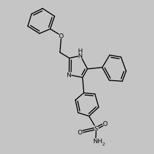 NS(=O)(=O)c1ccc(-c2nc(COc3ccccc3)[nH]c2-c2ccccc2)cc1